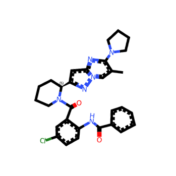 Cc1cn2nc([C@@H]3CCCCN3C(=O)c3cc(Cl)ccc3NC(=O)c3ccccc3)cc2nc1N1CCCC1